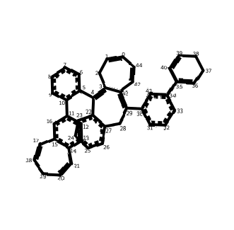 C1=CCC2=C(c3ccccc3-c3ccc4c(c3)C=CCC=C4)c3ccccc3CC(c3cccc(C4=CCCC=C4)c3)=C2C=C1